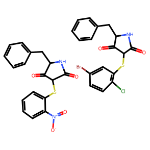 O=C1NC(Cc2ccccc2)C(=O)C1Sc1cc(Br)ccc1Cl.O=C1NC(Cc2ccccc2)C(=O)C1Sc1ccccc1[N+](=O)[O-]